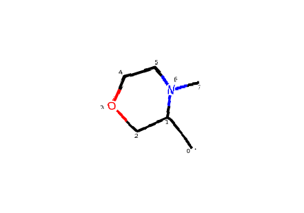 [CH2]C1COCCN1C